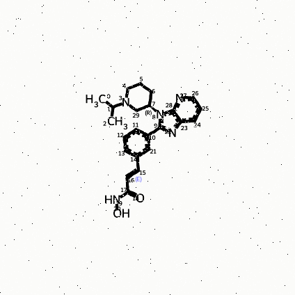 CC(C)N1CCC[C@@H](n2c(-c3cccc(/C=C/C(=O)NO)c3)nc3cccnc32)C1